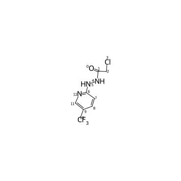 O=C(CCl)NNc1ccc(C(F)(F)F)cn1